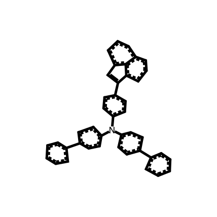 C1=C(c2ccc(N(c3ccc(-c4ccccc4)cc3)c3ccc(-c4ccccc4)cc3)cc2)c2cccc3cccc1c23